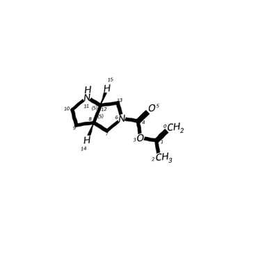 C=C(C)OC(=O)N1C[C@@H]2CCN[C@@H]2C1